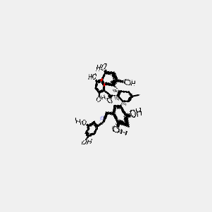 CC1=C[C@H](c2cc(/C=C/c3cc(O)cc(O)c3)c(O)cc2O)[C@@H](C(=O)c2ccc(O)cc2O)[C@H](c2ccc(O)cc2O)C1